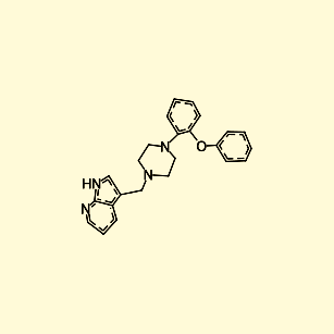 c1ccc(Oc2ccccc2N2CCN(Cc3c[nH]c4ncccc34)CC2)cc1